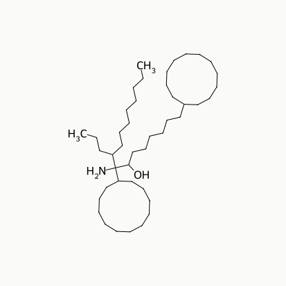 CCCCCCCCC(CCC)C(N)(C(O)CCCCCCC1CCCCCCCCCCC1)C1CCCCCCCCCCC1